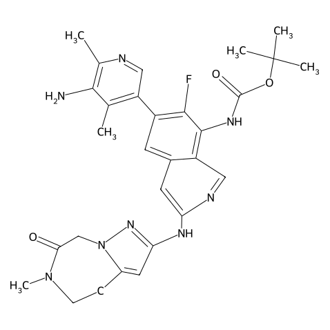 Cc1ncc(-c2cc3cc(Nc4cc5n(n4)CC(=O)N(C)CC5)ncc3c(NC(=O)OC(C)(C)C)c2F)c(C)c1N